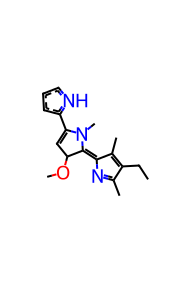 CCC1=C(C)C(=C2C(OC)C=C(c3ccc[nH]3)N2C)N=C1C